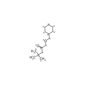 CC(C)(C)CC(=O)COCC1CCCCC1